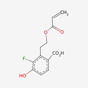 C=CC(=O)OCCc1c(C(=O)O)ccc(O)c1F